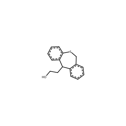 OCCC1c2ccccc2CSc2ccccc21